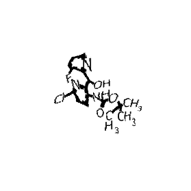 CC(C)(C)OC(=O)Nc1ccc(Cl)nc1C(O)c1ncccc1F